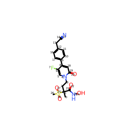 CC(CCn1cc(F)c(-c2ccc(CC#N)cc2)cc1=O)(C(=O)NO)S(C)(=O)=O